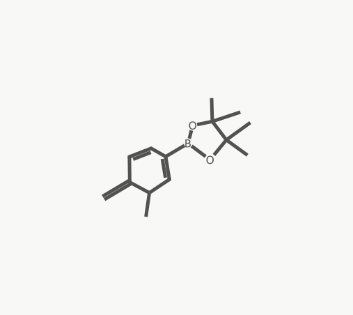 C=C1C=CC(B2OC(C)(C)C(C)(C)O2)=CC1C